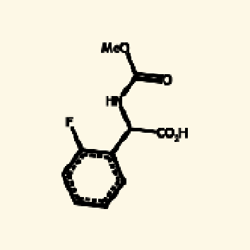 COC(=O)NC(C(=O)O)c1ccccc1F